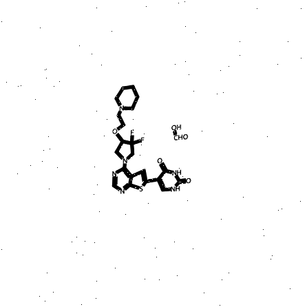 O=CO.O=c1[nH]cc(-c2cc3c(N4CC(OCCN5CCCCC5)C(F)(F)C4)ncnc3s2)c(=O)[nH]1